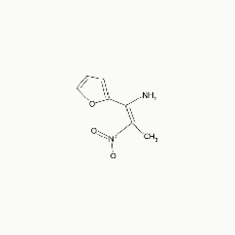 CC(=C(N)c1ccco1)[N+](=O)[O-]